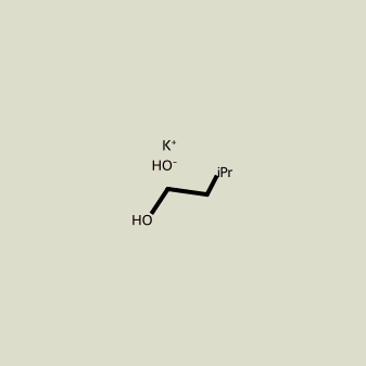 CC(C)CCO.[K+].[OH-]